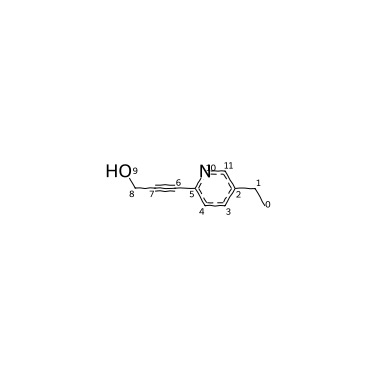 CCc1ccc(C#CCO)nc1